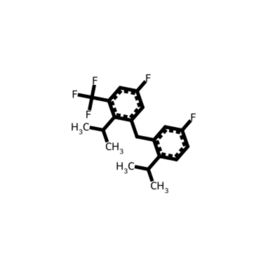 CC(C)c1ccc(F)cc1Cc1cc(F)cc(C(F)(F)F)c1C(C)C